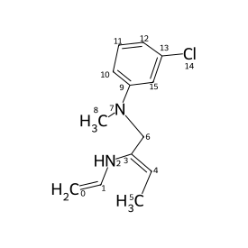 C=CN/C(=C\C)CN(C)c1cccc(Cl)c1